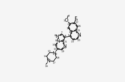 COc1cc2c(-c3cnn4cc(N5CCN(C)CC5)cnc34)ccnc2cc1F